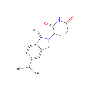 C=C1c2ccc(C(CCC)CCCC)cc2CN1C1CCC(=O)NC1=O